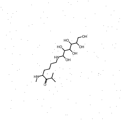 CNC(CCCCNC(O)C(O)C(O)C(O)C(O)CO)C(=O)C(C)C